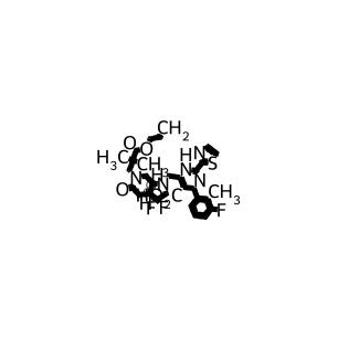 C=CCOC(=O)C(C)(C)CN1C[C@@H]2[C@H](CC1=O)C(F)(F)CN2CC1=C(C(=O)O)C(c2cccc(F)c2C)N=C(c2nccs2)N1